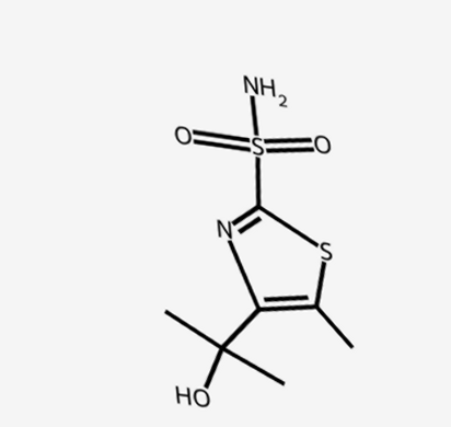 Cc1sc(S(N)(=O)=O)nc1C(C)(C)O